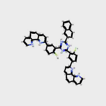 Fc1ccc(-c2ccc3ccc4cccnc4c3n2)cc1-c1nc(-c2ccc3ccccc3c2)nc(-c2cc(-c3ccc4ccc5cccnc5c4n3)ccc2F)n1